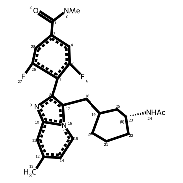 CNC(=O)c1cc(F)c(-c2nc3cc(C)ccn3c2CC2CCC[C@@H](NC(C)=O)C2)c(F)c1